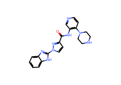 O=C(Nc1cnccc1N1CCNCC1)c1ccn(-c2nc3ccccc3[nH]2)n1